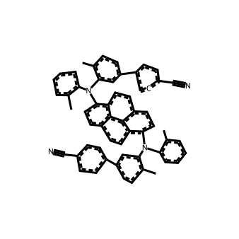 Cc1ccccc1N(c1cc(-c2ccc(C#N)cc2)ccc1C)c1ccc2ccc3c(N(c4ccccc4C)c4cc(-c5ccc(C#N)cc5)ccc4C)ccc4ccc1c2c43